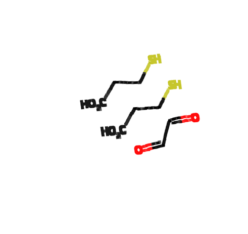 O=C(O)CCS.O=C(O)CCS.O=CC=O